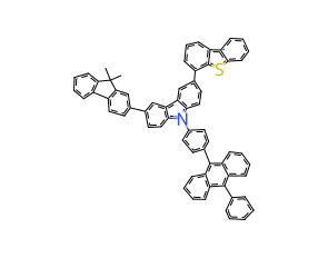 CC1(C)c2ccccc2-c2ccc(-c3ccc4c(c3)c3cc(-c5cccc6c5sc5ccccc56)ccc3n4-c3ccc(-c4c5ccccc5c(-c5ccccc5)c5ccccc45)cc3)cc21